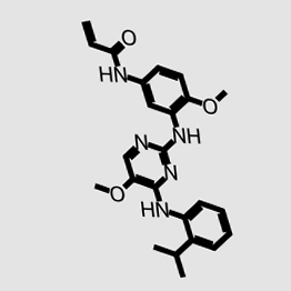 C=CC(=O)Nc1ccc(OC)c(Nc2ncc(OC)c(Nc3ccccc3C(C)C)n2)c1